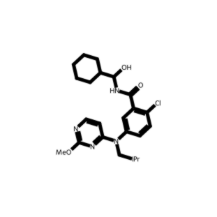 COc1nccc(N(CC(C)C)c2ccc(Cl)c(C(=O)NC(O)C3CCCCC3)c2)n1